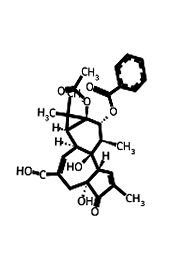 CC(=O)O[C@@]12[C@H](OC(=O)c3ccccc3)[C@@H](C)[C@@]3(O)[C@@H](C=C(CO)C[C@]4(O)C(=O)C(C)=C[C@@H]34)[C@H]1C2(C)C